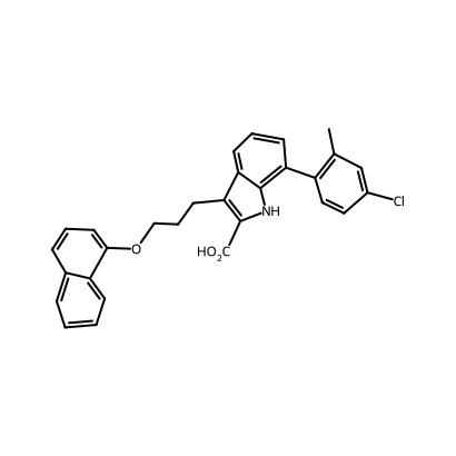 Cc1cc(Cl)ccc1-c1cccc2c(CCCOc3cccc4ccccc34)c(C(=O)O)[nH]c12